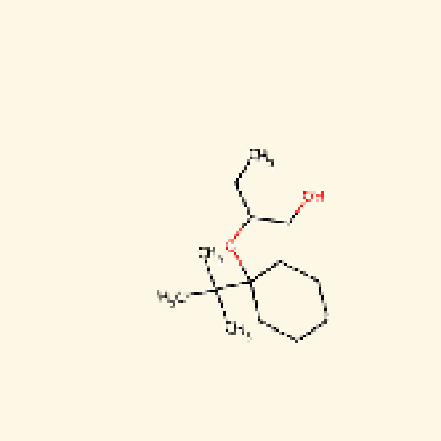 CCC(CO)OC1(C(C)(C)C)CCCCC1